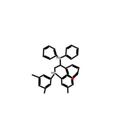 Cc1cc(C)cc([SiH](CC(c2ccccc2)[SiH](c2ccccc2)c2ccccc2)c2cc(C)cc(C)c2)c1